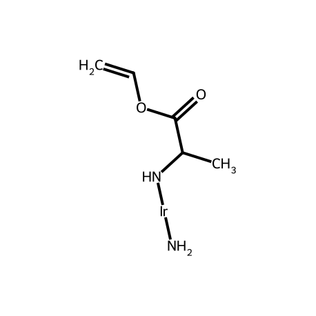 C=COC(=O)C(C)[NH][Ir][NH2]